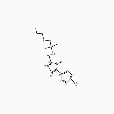 CCCCCC(C)(C)SSc1nnc(-c2ccc(O)cc2)n1C